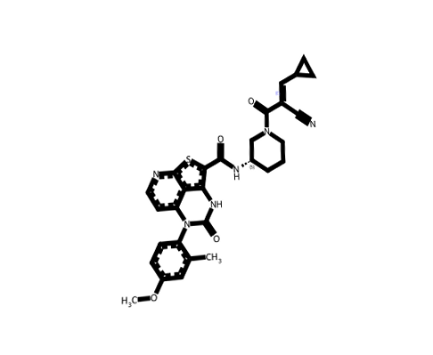 COc1ccc(N2C(=O)Nc3c(C(=O)N[C@H]4CCCN(C(=O)/C(C#N)=C/C5CC5)C4)sc4nccc2c34)c(C)c1